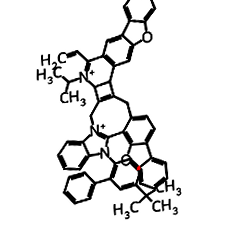 C=CC1=[N+](C(C)C)C2C3=C(Cc4ccc5c(oc6ccccc65)c4-c4n(-c5ccc(C(C)(C)C)cc5-c5ccccc5)c5ccccc5[n+]4C3)C2c2cc3oc4ccccc4c3cc21